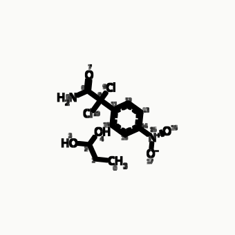 CCC(O)O.NC(=O)C(Cl)(Cl)c1ccc([N+](=O)[O-])cc1